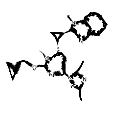 Cc1nc(C)n(-c2cc([C@@H]3C[C@H]3c3nc4ccccc4n3C)nc(OCC3CC3)n2)n1